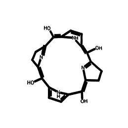 Oc1c2nc(c(O)c3ccc([nH]3)c(O)c3nc(c(O)c4ccc1[nH]4)CC3)CC2